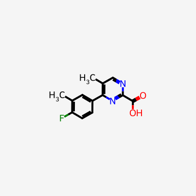 Cc1cc(-c2nc(C(=O)O)ncc2C)ccc1F